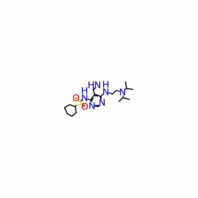 CC(C)N(CCNc1ncnc(NS(=O)(=O)C2CCCCC2)c1C=N)C(C)C